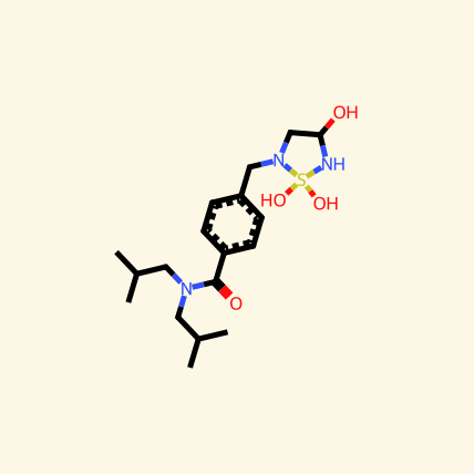 CC(C)CN(CC(C)C)C(=O)c1ccc(CN2CC(O)NS2(O)O)cc1